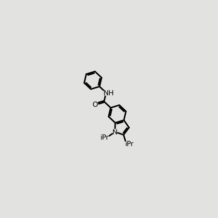 CC(C)c1cc2ccc(C(=O)Nc3ccccc3)cc2n1C(C)C